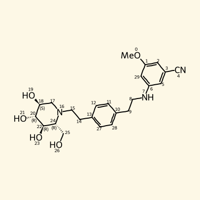 COc1cc(C#N)cc(NCCc2ccc(CCN3C[C@H](O)[C@@H](O)[C@H](O)[C@H]3CO)cc2)c1